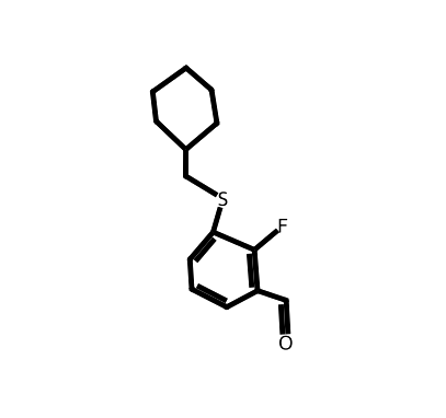 O=Cc1cccc(SCC2CCCCC2)c1F